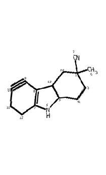 CC1(C#N)CCC2NC3=C(C#CCC3)C2C1